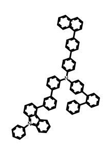 c1ccc(-c2ccccc2-c2ccc(N(c3ccc(-c4ccc(-c5cccc6ccccc56)cc4)cc3)c3cccc(-c4cccc(-c5cccc6c5c5ccccc5n6-c5ccccc5)c4)c3)cc2)cc1